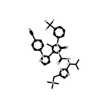 Cc1c(-c2ccnn2-c2ccc(C#N)cc2)n(C(=O)N[C@H](c2ncc(C[N+](C)(C)C)o2)C(C)C)c(=O)n1-c1cccc(C(F)(F)F)c1